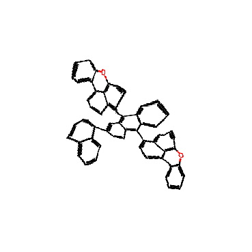 c1ccc2c(c1)Oc1cccc3c(-c4c5ccccc5c(-c5ccc6c7c(cccc57)-c5ccccc5O6)c5cc(-c6cccc7ccccc67)ccc45)ccc-2c13